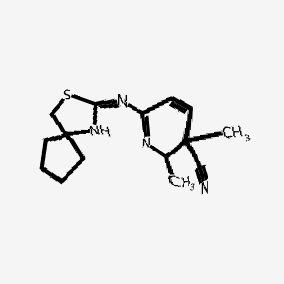 CC1N=C(N=C2NC3(CCCC3)CS2)C=CC1(C)C#N